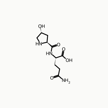 NC(=O)CC[C@H](NC(=O)[C@@H]1C[C@@H](O)CN1)C(=O)O